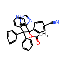 CC(=O)OC(c1ccc(C#N)cc1)(c1c[nH]cn1)C(c1ccccc1)(c1ccccc1)c1ccccc1